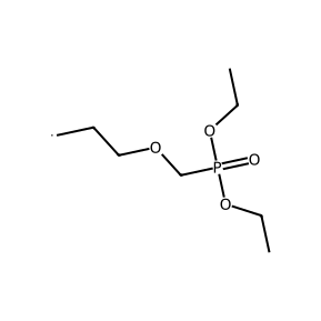 [CH2]CCOCP(=O)(OCC)OCC